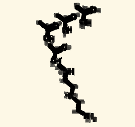 CC(=O)O.CC(=O)O.CC(=O)O.CC(=O)O.CNCCNCCN